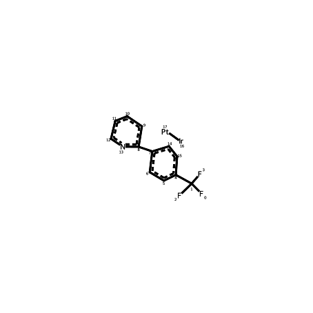 FC(F)(F)c1ccc(-c2ccccn2)cc1.[Ir][Pt]